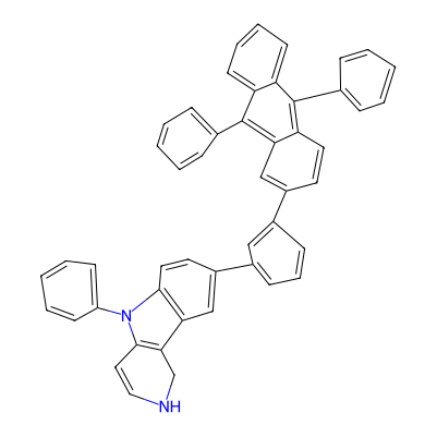 C1=Cc2c(c3cc(-c4cccc(-c5ccc6c(-c7ccccc7)c7ccccc7c(-c7ccccc7)c6c5)c4)ccc3n2-c2ccccc2)CN1